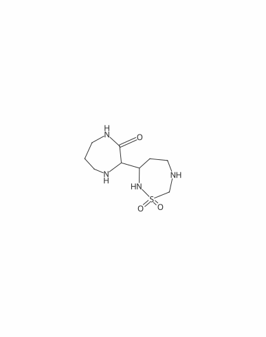 O=C1NCCCNC1C1CCNCS(=O)(=O)N1